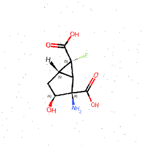 N[C@]1(C(=O)O)C2[C@H](C[C@@H]1O)[C@@]2(F)C(=O)O